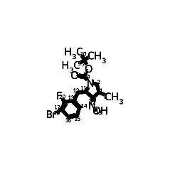 CC1CN(C(=O)OC(C)(C)C)C(Cc2cccc(Br)c2F)C1=NO